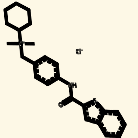 C[N+](C)(Cc1ccc(NC(=O)c2cc3ccccc3s2)cc1)C1CCCCC1.[Cl-]